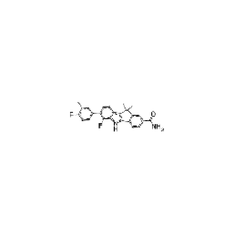 Cc1cc(-c2ccc3c4c([nH]c3c2F)-c2ccc(C(N)=O)cc2C4(C)C)ccc1F